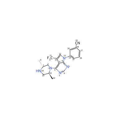 C[C@@H]1CN(c2ncnc3c2c(C(F)(F)F)cn3-c2cccc(C#N)c2)[C@@H](C)CN1